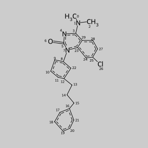 CN(C)c1nc(=O)n(-c2cccc(CCCc3ccccc3)c2)c2cc(Cl)ccc12